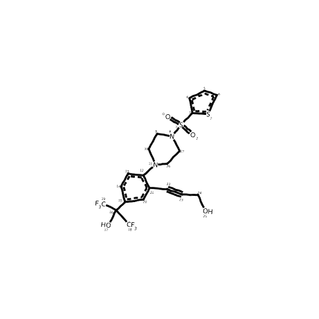 O=S(=O)(c1cccs1)N1CCN(c2ccc(C(O)(C(F)(F)F)C(F)(F)F)cc2C#CCO)CC1